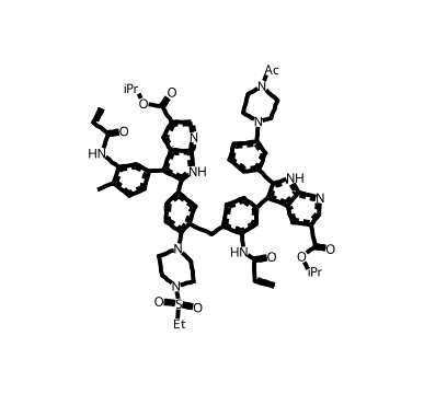 C=CC(=O)Nc1cc(-c2c(-c3ccc(N4CCN(S(=O)(=O)CC)CC4)c(Cc4ccc(-c5c(-c6cccc(N7CCN(C(C)=O)CC7)c6)[nH]c6ncc(C(=O)OC(C)C)cc56)cc4NC(=O)C=C)c3)[nH]c3ncc(C(=O)OC(C)C)cc23)ccc1C